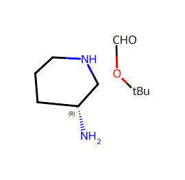 CC(C)(C)OC=O.N[C@@H]1CCCNC1